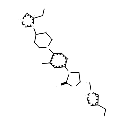 O=C1O[C@@H](Cn2cc(CO)nn2)CN1c1ccc(N2CCC(n3nncc3CO)CC2)c(F)c1